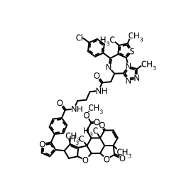 COC(=O)CC1C2(C)C3=C(C)C(c4ccoc4-c4ccc(C(=O)NCCCNC(=O)CC5N=C(c6ccc(Cl)cc6)c6c(sc(C)c6C)-n6c(C)nnc65)cc4)CC3OC2C2OC(=O)C3(C)C=CC(=O)C1(C)C23